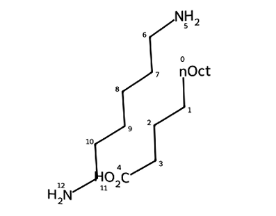 CCCCCCCCCCCC(=O)O.NCCCCCCN